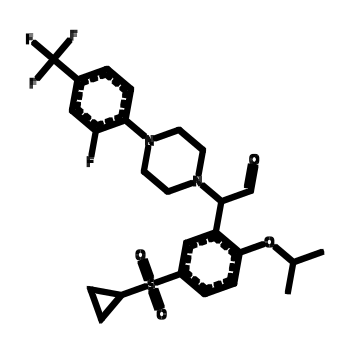 CC(C)Oc1ccc(S(=O)(=O)C2CC2)cc1C(C=O)N1CCN(c2ccc(C(F)(F)F)cc2F)CC1